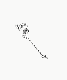 CCCCCCCCCCCCCCCCOC[C@@H]1OCCC[C@H]1OP(=O)([O-])OCC[N+](C)(C)C